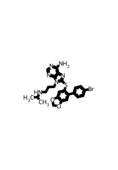 CC(C)NCCCn1c(Sc2cc3c(cc2-c2ccc(Br)cc2)OCO3)nc2c(N)ncnc21